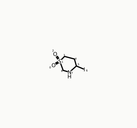 O=S1(=O)CCC(I)NC1